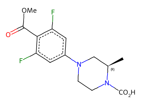 COC(=O)c1c(F)cc(N2CCN(C(=O)O)[C@H](C)C2)cc1F